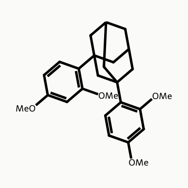 COc1ccc(C23CC4CC(C2)CC(c2ccc(OC)cc2OC)(C4)C3)c(OC)c1